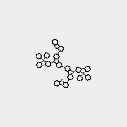 c1ccc([Si]2(c3ccccc3)c3ccccc3-c3ccc(-n4c5ccc(-c6ccc7c(c6)c6cc(-c8cccc9c8oc8ccccc89)ccc6n7-c6ccc7c(c6)[Si](c6ccccc6)(c6ccccc6)c6ccccc6-7)cc5c5cc(-c6cccc7c6oc6ccccc67)ccc54)cc32)cc1